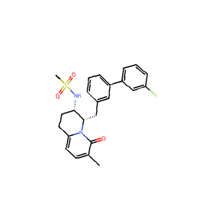 Cc1ccc2n(c1=O)[C@@H](Cc1cccc(-c3cccc(F)c3)c1)[C@@H](NS(C)(=O)=O)CC2